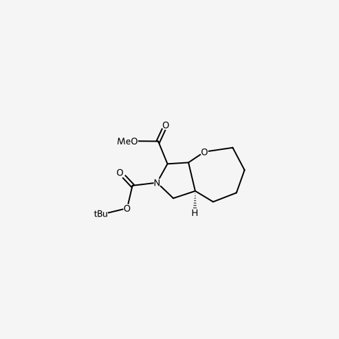 COC(=O)C1C2OCCCC[C@H]2CN1C(=O)OC(C)(C)C